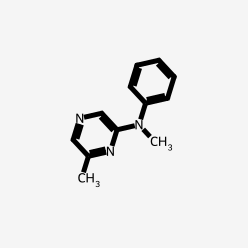 Cc1cncc(N(C)c2ccccc2)n1